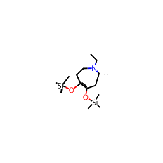 CCN1CCC(O[Si](C)(C)C)=C(O[Si](C)(C)C)C[C@H]1C